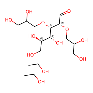 CCO.CCO.O=C[C@H](OCC(O)CO)[C@@H](OCC(O)CO)[C@H](O)[C@H](O)CO